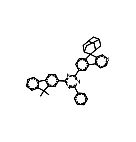 CC1(C)c2ccccc2-c2ccc(-c3nc(-c4ccccc4)nc(-c4ccc5c(c4)-c4ccncc4C54C5CC6CC(C5)CC4C6)n3)cc21